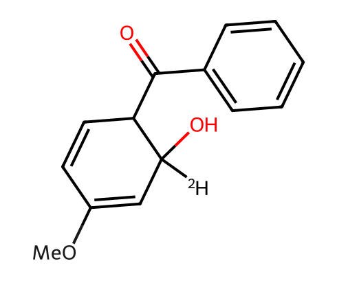 [2H]C1(O)C=C(OC)C=CC1C(=O)c1ccccc1